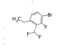 CCc1ccc(Br)c(F)c1C(F)F